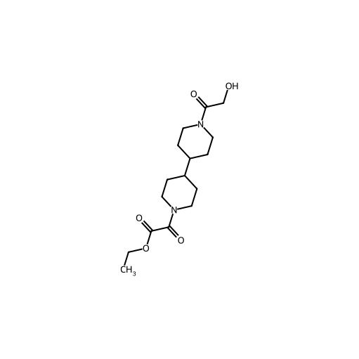 CCOC(=O)C(=O)N1CCC(C2CCN(C(=O)CO)CC2)CC1